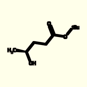 C[C@H](O)CCC(=O)OC(C)(C)C